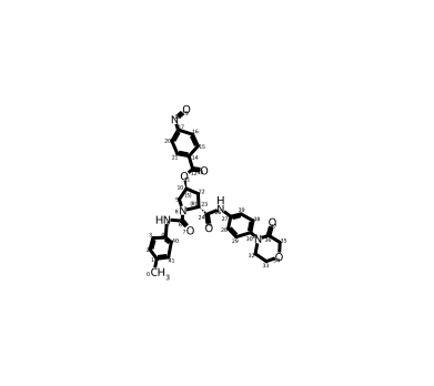 Cc1ccc(NC(=O)N2C[C@@H](OC(=O)c3ccc(N=O)cc3)C[C@@H]2C(=O)Nc2ccc(N3CCOCC3=O)cc2)cc1